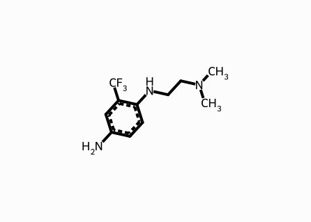 CN(C)CCNc1ccc(N)cc1C(F)(F)F